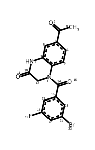 CC(=O)c1ccc2c(c1)NC(=O)CN2C(=O)c1cc(F)cc(Br)c1